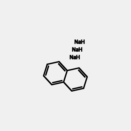 [NaH].[NaH].[NaH].c1ccc2ccccc2c1